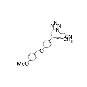 CC#CC(Cc1nnnn1CCC#N)c1ccc(OCc2ccc(OC)cc2)cc1